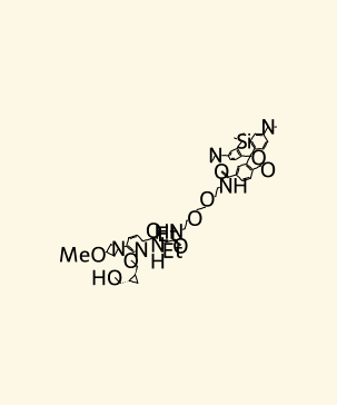 CCC(CC)(NC(=O)c1ccc(N2CC(OC)C2)c(OC[C@H]2C[C@@H]2CO)n1)C(=O)NCCOCCOCCNC(=O)c1ccc2c(c1)C1(OC2=O)c2ccc(N(C)C)cc2[Si](C)(C)c2cc(N(C)C)ccc21